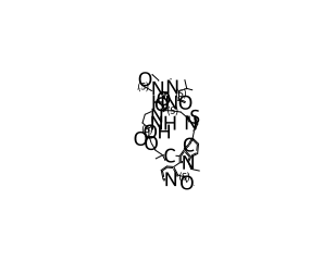 CCn1c(-c2cccnc2[C@H](C)OC)c2c3cc(ccc31)-c1csc(n1)C[C@H](NC(=O)[C@H](C(C)C)N(C)C(=O)N1CCO[C@@H](C)C1)C(=O)N1CCC[C@@](O)(N1)C(=O)OCC(C)(C)C2